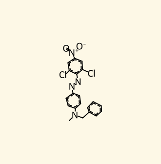 CN(Cc1ccccc1)c1ccc(N=Nc2c(Cl)cc([N+](=O)[O-])cc2Cl)cc1